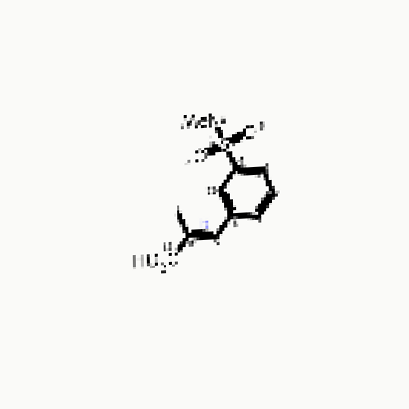 CNS(=O)(=O)c1cccc(/C=C(\C)C(=O)O)c1